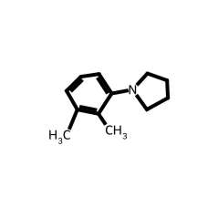 Cc1cccc(N2CCCC2)c1C